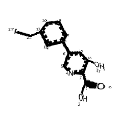 O=C(O)c1ncc(-c2cccc(CI)c2)cc1O